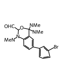 CNN1c2ccc(-c3cccc(Br)c3)cc2C(NC)(NC)OC1C=O